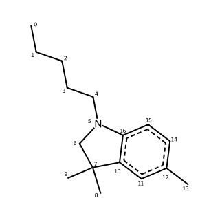 CCCCCN1CC(C)(C)c2cc(C)ccc21